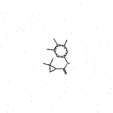 C=C(Nc1cc(C)c(C)c(C)c1)C1CC1(C)C